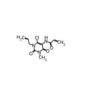 C=CCn1c(Cl)c(NC(=O)C=C)c(=O)n(C)c1=O